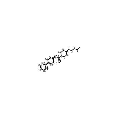 CCCCCC1CCC(C(=O)Oc2ccc(-c3ncccn3)cc2)CC1